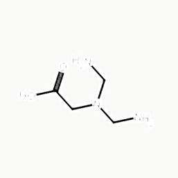 NCN(CN)CC(=O)O